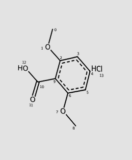 COc1cccc(OC)c1C(=O)O.Cl